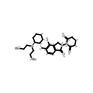 CC(C)(C)CCN(CCC(C)(C)C)[C@H]1CCCC[C@@H]1Cc1ccc2c(c1F)CN(N1C(=O)CCCC1=O)C2=O